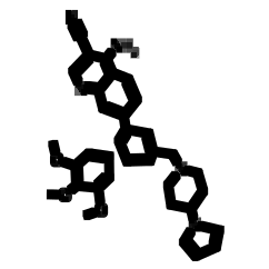 COc1cccc(OC)c1OC.N#Cc1cnc2cc(-c3cccc(CN4CCC(n5cccc5)CC4)c3)ccc2c1N